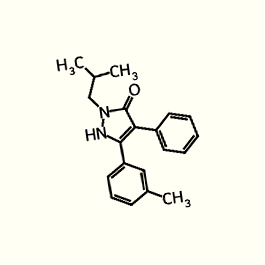 Cc1cccc(-c2[nH]n(CC(C)C)c(=O)c2-c2ccccc2)c1